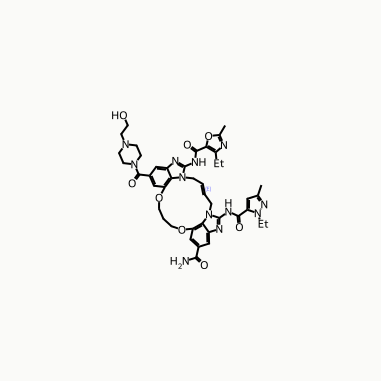 CCc1nc(C)oc1C(=O)Nc1nc2cc(C(=O)N3CCN(CCO)CC3)cc3c2n1C/C=C/Cn1c(NC(=O)c2cc(C)nn2CC)nc2cc(C(N)=O)cc(c21)OCCCO3